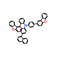 c1ccc(N(c2ccc(-c3ccc4oc5ccccc5c4c3)cc2)c2ccc(-c3cccc4ccccc34)cc2)c(-c2cccc3oc4ccccc4c23)c1